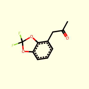 CC(=O)Cc1cccc2c1OC(F)(F)O2